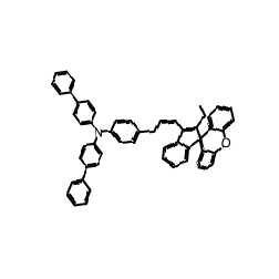 CCC1=C(/C=C\Cc2ccc(N(c3ccc(-c4ccccc4)cc3)c3ccc(-c4ccccc4)cc3)cc2)c2ccccc2C12c1ccccc1Oc1ccccc12